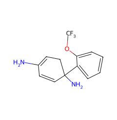 NC1=CCC(N)(c2ccccc2OC(F)(F)F)C=C1